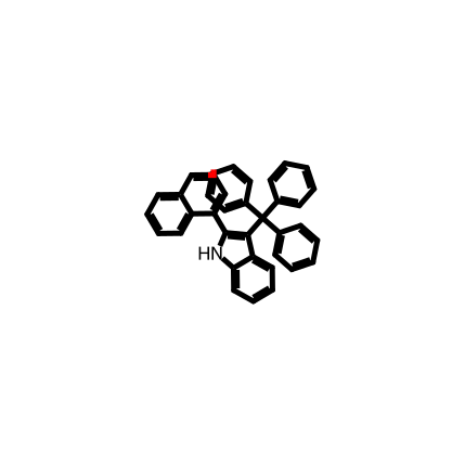 c1ccc(C(c2ccccc2)(c2ccccc2)c2c(-c3cccc4ccccc34)[nH]c3ccccc23)cc1